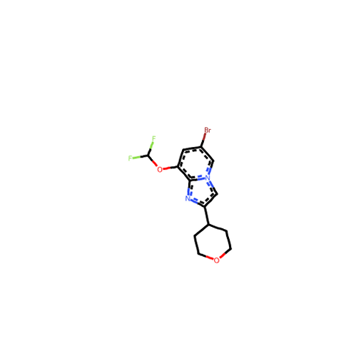 FC(F)Oc1cc(Br)cn2cc(C3CCOCC3)nc12